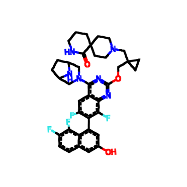 O=C1NCCCC12CCN(CC1(COc3nc(N4CC5CCC(C4)N5)c4cc(F)c(-c5cc(O)cc6ccc(F)c(F)c56)c(F)c4n3)CC1)CC2